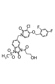 CS(=O)(=O)n1c(=O)n(C(=O)CCO)c2cc(Cn3ccc(OCc4ccc(F)cc4F)c(Cl)c3=O)ccc21